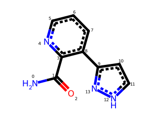 NC(=O)c1ncccc1-c1cc[nH]n1